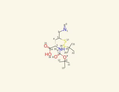 C=NCC(C[C@H](NC(=O)OC(C)(C)C)C(=O)O)SSC(C)(C)C